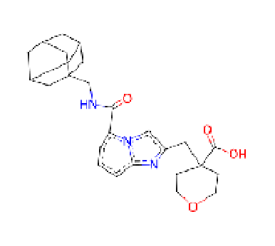 O=C(NCC12CC3CC(CC(C3)C1)C2)c1cccc2nc(CC3(C(=O)O)CCOCC3)cn12